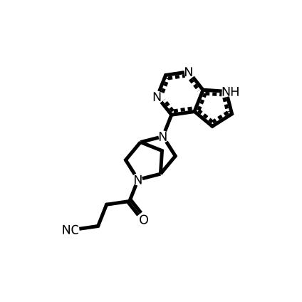 N#CCCC(=O)N1CC2CC1CN2c1ncnc2[nH]ccc12